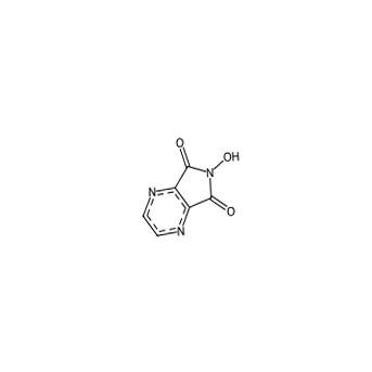 O=C1c2nccnc2C(=O)N1O